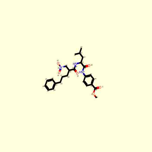 COC(=O)c1ccc(NC(=O)C(CC(C)C)NC(=O)C(CCCc2ccccc2)C[N+](=O)[O-])cc1